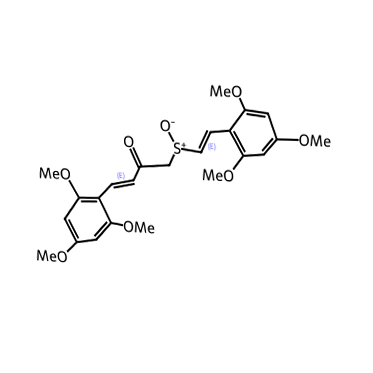 COc1cc(OC)c(/C=C/C(=O)C[S+]([O-])/C=C/c2c(OC)cc(OC)cc2OC)c(OC)c1